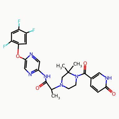 CC(C(=O)Nc1cnc(Oc2cc(F)c(F)cc2F)cn1)N1CCN(C(=O)c2ccc(=O)[nH]c2)C(C)(C)C1